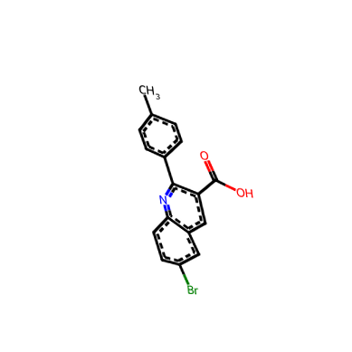 Cc1ccc(-c2nc3ccc(Br)cc3cc2C(=O)O)cc1